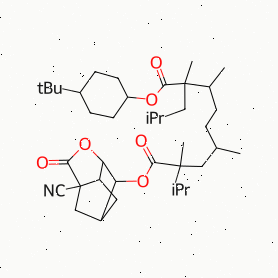 CC(C)CC(C)(C(=O)OC1CCC(C(C)(C)C)CC1)C(C)CCC(C)CC(C)(C(=O)OC1C2CC3C1OC(=O)C3(C#N)C2)C(C)C